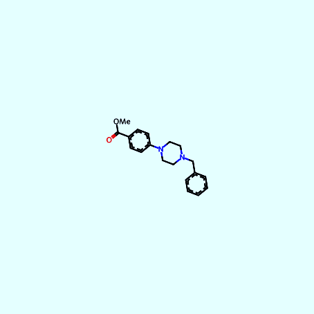 COC(=O)c1ccc(N2CCN(Cc3ccccc3)CC2)cc1